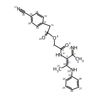 CC(=N)/C(NC(=O)COC(=O)Cc1ccc(C#N)cc1)=C(/C)Nc1ccccc1